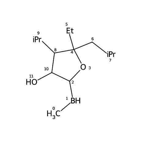 CBC1OC(CC)(CC(C)C)C(C(C)C)C1O